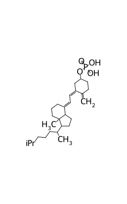 C=C1CCC(OP(=O)(O)O)C/C1=C/C=C1\CCCC2(C)C1CCC2C(C)CCCC(C)C